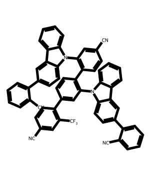 N#Cc1ccc(-c2ccc(-c3ccc(C#N)cc3C(F)(F)F)cc2-n2c3ccccc3c3cc(-c4ccccc4C#N)ccc32)c(-n2c3ccccc3c3cc(-c4ccccc4C#N)ccc32)c1